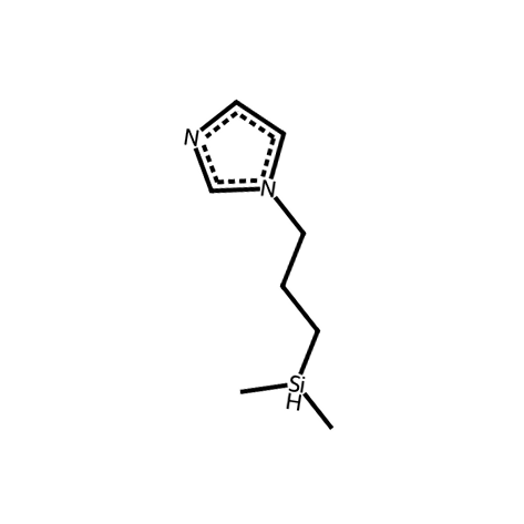 C[SiH](C)CCCn1ccnc1